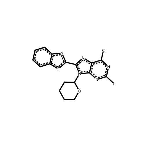 Clc1nc(I)nc2c1nc(-c1nc3ccccc3s1)n2C1CCCCO1